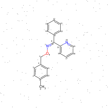 Cc1ccc(CON=C(c2ccccc2)c2ccccn2)cc1